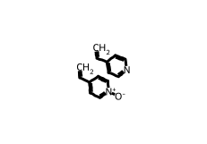 C=Cc1cc[n+]([O-])cc1.C=Cc1ccncc1